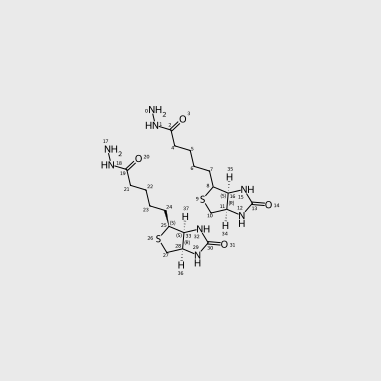 NNC(=O)CCCCC1SC[C@@H]2NC(=O)N[C@H]12.NNC(=O)CCCC[C@@H]1SC[C@@H]2NC(=O)N[C@@H]21